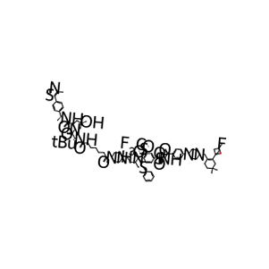 Cc1ncsc1-c1ccc([C@H](C)NC(=O)[C@@H]2C[C@@H](O)CN2C(=O)[C@@H](NC(=O)CCCCCC(=O)N2CCN(CC[C@H](CSc3ccccc3)Nc3ccc(S(=O)(=O)NC(=O)c4ccc(N5CCN(CC6=C(C78CC(F)(C7)C8)CC(C)(C)CC6)CC5)cc4)cc3S(=O)(=O)C(F)(F)F)CC2)C(C)(C)C)cc1